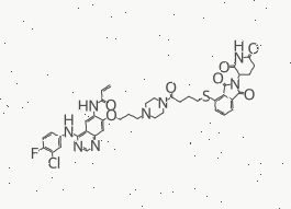 C=CC(=O)Nc1cc2c(Nc3ccc(F)c(Cl)c3)ncnc2cc1OCCCN1CCN(C(=O)CCCSc2cccc3c2C(=O)N(C2CCC(=O)NC2=O)C3=O)CC1